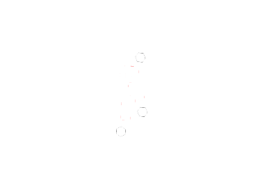 CCC(C)(COCC(CC)(COCC(CC)(CO)OC(=O)c1ccccc1)OC(=O)c1ccccc1)OC(=O)c1ccccc1